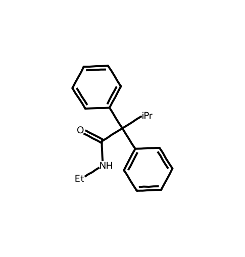 CCNC(=O)C(c1ccccc1)(c1ccccc1)C(C)C